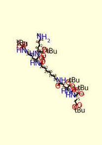 CC(C)(C)OC(=O)CC[C@H](NC(=O)N[C@@H](CCC(=O)NCCCCCCCC(=O)N[C@@H](CCCCNC(=O)OC(C)(C)C)C(=O)N[C@@H](CCCCN)C(=O)OC(C)(C)C)C(=O)OC(C)(C)C)C(=O)OC(C)(C)C